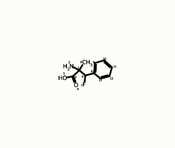 CC(N)(C(=O)O)C(F)c1ccccc1